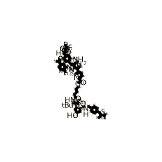 Cc1ncsc1-c1ccc(CNC(=O)[C@@H]2C[C@@H](O)CN2C(=O)C(NC(=O)CCCCOC(=O)c2ccc(-c3cnc(N)c4c(-c5ccc(NS(=O)(=O)C(F)F)c(OC(C)c6ccc(F)cc6)c5)nn(C)c34)cn2)C(C)(C)C)cc1